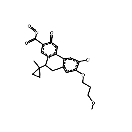 COCCCOc1cc2c(cc1Cl)-c1cc(=O)c(C(=O)N=O)cn1C(C1(C)CC1)C2